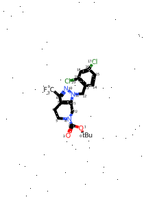 CC(C)(C)OC(=O)N1CCc2c(C(F)(F)F)nn(Cc3ccc(Cl)cc3Cl)c2C1